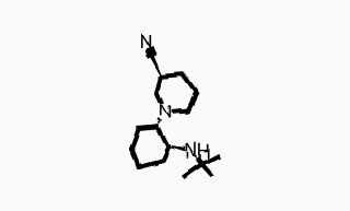 CC(C)(C)N[C@H]1CCCC[C@@H]1N1CCC[C@H](C#N)C1